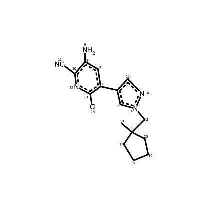 CC1(Cn2cc(-c3cc(N)c(C#N)nc3Cl)cn2)CCCC1